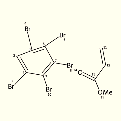 Brc1cc(Br)c(Br)c(Br)c1Br.C=CC(=O)OC